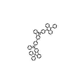 c1ccc(-c2c3ccccc3c(-c3ccc(-n4c5ccccc5c5cc(-c6ccc(N(c7ccccc7)c7ccc8c(c7)C(c7ccccc7)(c7ccccc7)c7ccccc7-8)cc6)ccc54)cc3)c3ccccc23)cc1